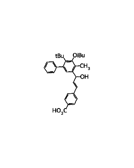 Cc1c(C(O)/C=C/c2ccc(C(=O)O)cc2)cc(-c2ccccc2)c(C(C)(C)C)c1OCC(C)C